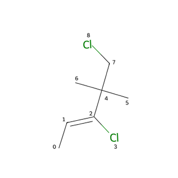 CC=C(Cl)C(C)(C)CCl